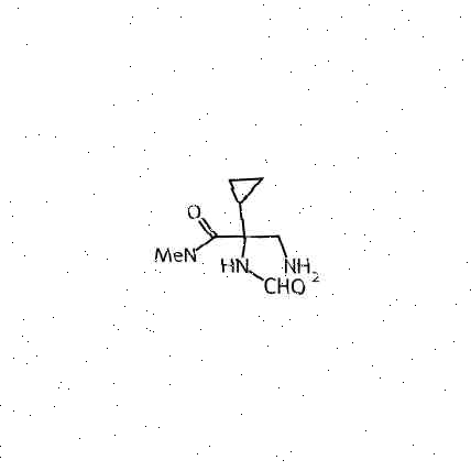 CNC(=O)C(CN)(NC=O)C1CC1